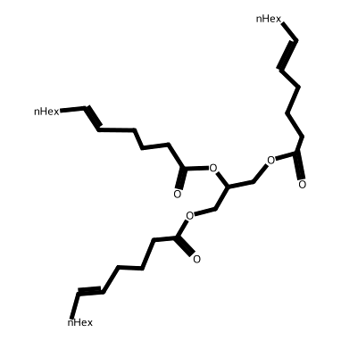 CCCCCCC=CCCCC(=O)OCC(COC(=O)CCCC=CCCCCCC)OC(=O)CCCC=CCCCCCC